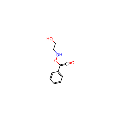 O=C=C(ONCCO)c1ccccc1